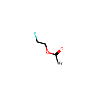 CCCC(=O)OCCF